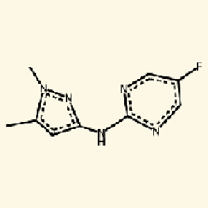 Cc1cc(Nc2ncc(F)cn2)nn1C